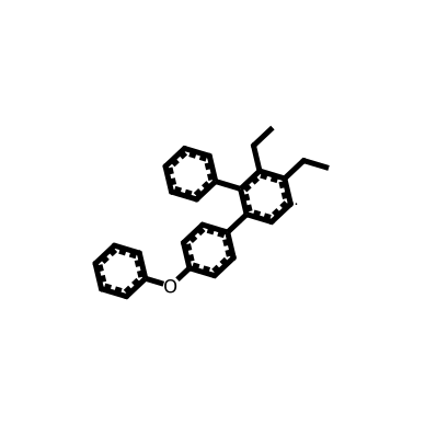 CCc1[c]cc(-c2ccc(Oc3ccccc3)cc2)c(-c2ccccc2)c1CC